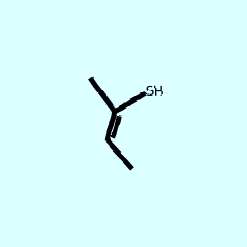 C/C=C(/C)S